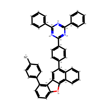 N#Cc1ccc(-c2cccc3oc4c5ccccc5c(-c5ccc(-c6nc(-c7ccccc7)nc(-c7ccccc7)n6)cc5)cc4c23)cc1